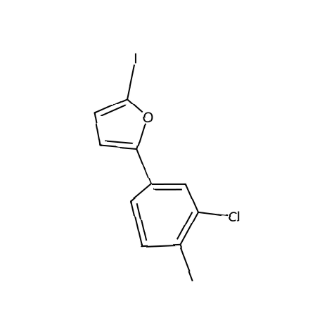 Cc1ccc(-c2ccc(I)o2)cc1Cl